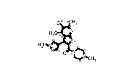 Cc1nc2sc(C(=O)N3CCN(C)CC3)c(-c3cnn(C)c3)c2c(C)c1Cl